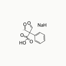 O=[C]C(C=O)(c1ccccc1)S(=O)(=O)O.[NaH]